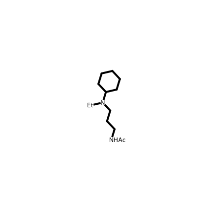 CCN(CCCNC(C)=O)C1CCCCC1